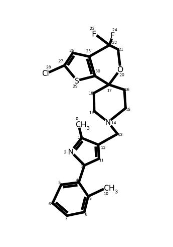 CC1=NC(c2ccccc2C)C=C1CN1CCC2(CC1)OCC(F)(F)c1cc(Cl)sc12